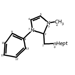 CCCCCCCCC1N(C)C=CN1c1ccccc1